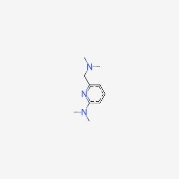 CN(C)Cc1cccc(N(C)C)n1